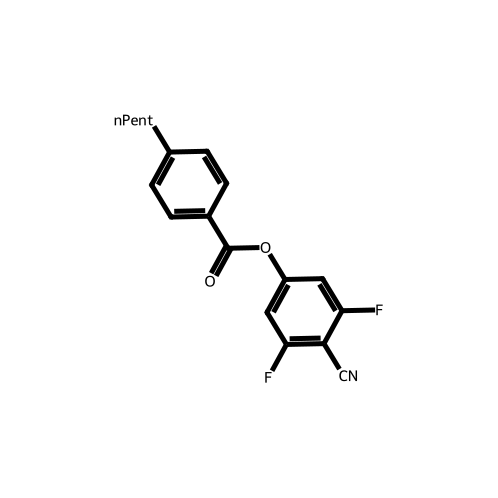 CCCCCc1ccc(C(=O)Oc2cc(F)c(C#N)c(F)c2)cc1